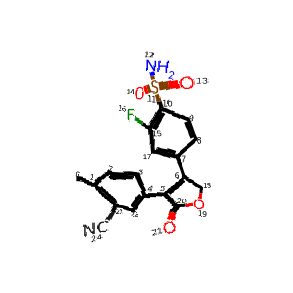 Cc1ccc(C2=C(c3ccc(S(N)(=O)=O)c(F)c3)COC2=O)cc1C#N